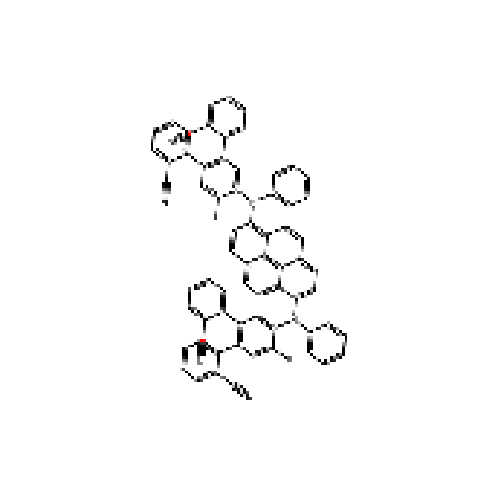 N#Cc1ccccc1-c1cc(F)c(N(c2ccccc2)c2ccc3ccc4c(N(c5ccccc5)c5cc(-c6ccccc6C#N)c(-c6ccccc6C#N)cc5F)ccc5ccc2c3c54)cc1-c1ccccc1C#N